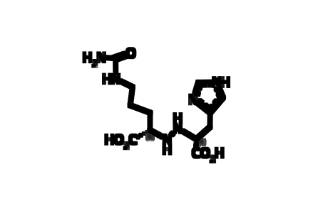 NC(=O)NCCC[C@H](NN[C@@H](Cc1c[nH]cn1)C(=O)O)C(=O)O